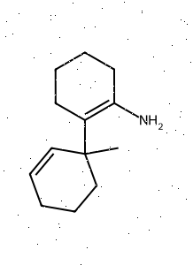 CC1(C2=C(N)CCCC2)C=CCCC1